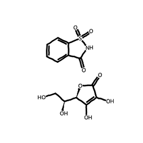 O=C1NS(=O)(=O)c2ccccc21.O=C1O[C@H]([C@@H](O)CO)C(O)=C1O